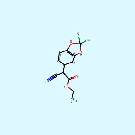 CCOC(=O)C(C#N)C1C=CC2=C(C1)OC(F)(F)O2